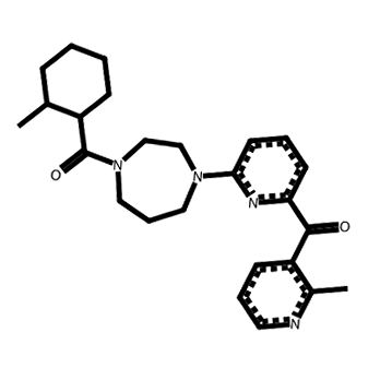 Cc1ncccc1C(=O)c1cccc(N2CCCN(C(=O)C3CCCCC3C)CC2)n1